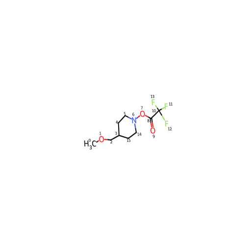 COCC1CCN(OC(=O)C(F)(F)F)CC1